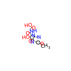 COc1ccc(-c2noc3c(O)c(C(=O)NCC(=O)O)nc(C#N)c23)cc1